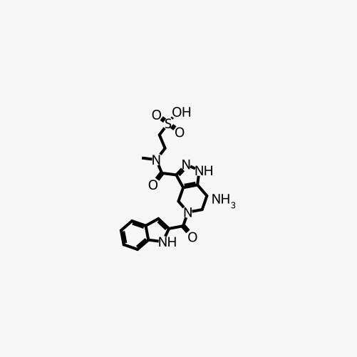 CN(CCS(=O)(=O)O)C(=O)c1n[nH]c2c1CN(C(=O)c1cc3ccccc3[nH]1)CC2.N